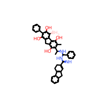 Bc1c(O)c(-c2ccccc2)c(O)c2c1-c1c(O)c(C)c(C(C)NC(NC(=N)C3=CC4=C(CC3)c3ccccc3C4)c3ccccc3)c(O)c1C2